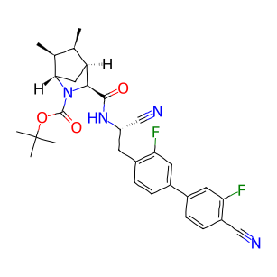 C[C@@H]1[C@H](C)[C@@H]2C[C@@H]1[C@@H](C(=O)N[C@H](C#N)Cc1ccc(-c3ccc(C#N)c(F)c3)cc1F)N2C(=O)OC(C)(C)C